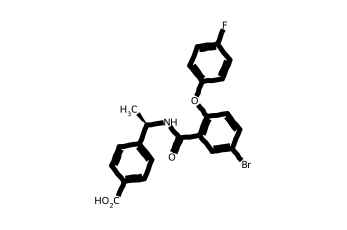 C[C@@H](NC(=O)c1cc(Br)ccc1Oc1ccc(F)cc1)c1ccc(C(=O)O)cc1